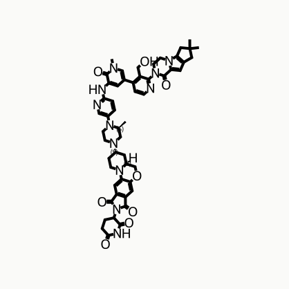 C[C@H]1CN([C@H]2CCN3c4cc5c(cc4OC[C@@H]3C2)C(=O)N(C2CCC(=O)NC2=O)C5=O)CCN1c1ccc(Nc2cc(-c3ccnc(N4CCn5c(cc6c5CC(C)(C)C6)C4=O)c3CO)cn(C)c2=O)nc1